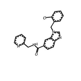 O=C(NCc1ccccn1)c1ccc2ncn(Cc3ccccc3Cl)c2c1